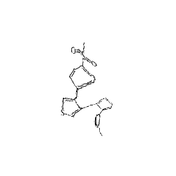 COc1ccccc1-c1cscc1-c1ccc(S(C)(=O)=O)cc1